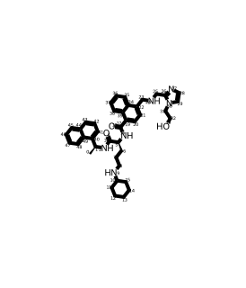 C[C@H](NC(=O)[C@H](CCCNC1CCCCC1)NC(=O)c1ccc(CNCc2nccn2CCO)c2ccccc12)c1cccc2ccccc12